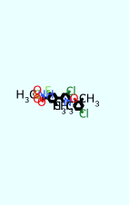 Cc1cc(C(=O)NS(C)(=O)=O)c(F)cc1-c1cnc(Oc2c(C)cc(Cl)cc2C)c(Cl)c1